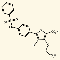 O=C(O)COc1c(C(=O)O)sc(-c2ccc(NS(=O)(=O)c3ccccc3)cc2)c1Br